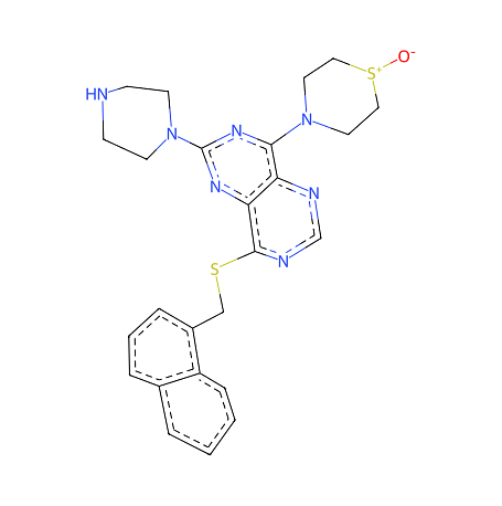 [O-][S+]1CCN(c2nc(N3CCNCC3)nc3c(SCc4cccc5ccccc45)ncnc23)CC1